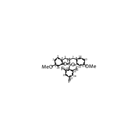 COc1ccc(CN(Cc2ccc(OC)cc2)S(=O)(=O)c2c(F)cc(F)cc2F)cc1